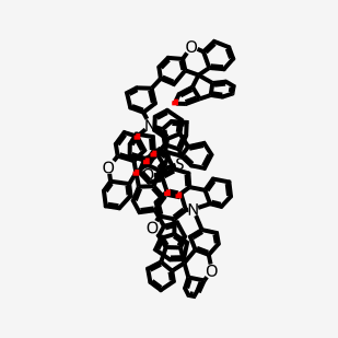 c1cc(-c2ccc3c(c2)C2(c4ccccc4O3)c3ccccc3-c3ccccc32)cc(N(c2ccc3c(c2)C2(c4ccccc4O3)c3ccccc3-c3cc(-c4ccc5c(c4)-c4ccccc4C54c5ccccc5Oc5ccc(N(c6ccccc6-c6ccc7c(c6)C6(c8ccccc8O7)c7ccccc7-c7ccccc76)c6cccc7oc8ccccc8c67)cc54)ccc32)c2cccc3sc4ccccc4c23)c1